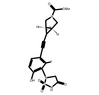 COC(=O)N1C[C@@H]2C(C#Cc3ccc(O)c(N4CC(=O)NS4(=O)=O)c3F)[C@@H]2C1